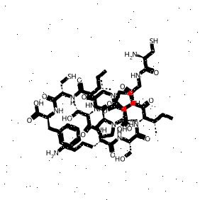 CC[C@H](C)[C@H](NC(=O)[C@@H]1CCCN1C(=O)[C@@H]1CCCN1C(=O)[C@@H](NC(=O)[C@H](CO)NC(=O)[C@H](CCCCN)NC(=O)[C@@H](NC(=O)[C@H](C)NC(=O)[C@@H](NC(=O)CNC(=O)[C@@H](N)CS)[C@@H](C)O)[C@@H](C)O)[C@@H](C)CC)C(=O)N[C@@H](CS)C(=O)N[C@@H](Cc1ccccc1)C(=O)O